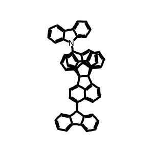 c1ccc2c(c1)-c1ccccc1C2c1ccc2c3c(cccc13)C13c4ccccc4-c4ccccc4C21c1ccc(-n2c4ccccc4c4ccccc42)c2cccc3c12